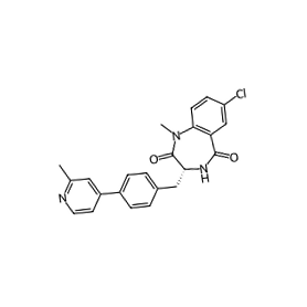 Cc1cc(-c2ccc(C[C@H]3NC(=O)c4cc(Cl)ccc4N(C)C3=O)cc2)ccn1